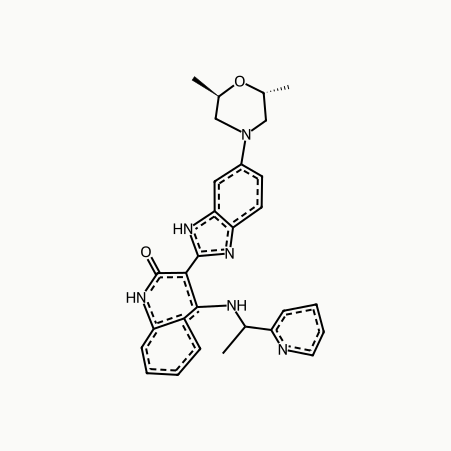 CC(Nc1c(-c2nc3ccc(N4C[C@@H](C)O[C@H](C)C4)cc3[nH]2)c(=O)[nH]c2ccccc12)c1ccccn1